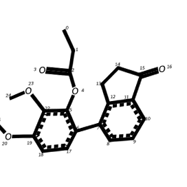 CCC(=O)Oc1c(-c2cccc3c2CCC3=O)ccc(OC)c1OC